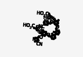 Cc1cc(OCc2cccc(-c3cccc(COc4cc(C)c(CNCC(O)CC(=O)O)c(OCc5cncc(C#N)c5)c4)c3C)c2C)cc(OCc2cncc(C#N)c2)c1CNCC(O)CC(=O)O